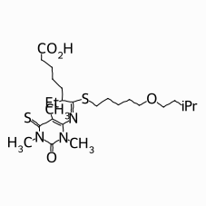 CCC(CCCCC(=O)O)/C(=N\c1c(C)c(=S)n(C)c(=O)n1C)SCCCCCOCCC(C)C